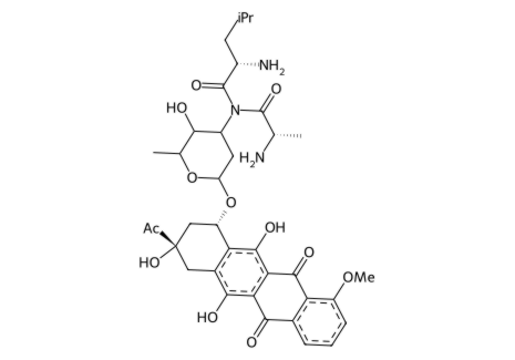 COc1cccc2c1C(=O)c1c(O)c3c(c(O)c1C2=O)C[C@@](O)(C(C)=O)C[C@@H]3OC1CC(N(C(=O)[C@H](C)N)C(=O)[C@@H](N)CC(C)C)C(O)C(C)O1